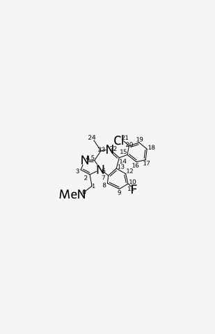 CNCc1cnc2n1-c1ccc(F)cc1C(c1ccccc1Cl)=NC2C